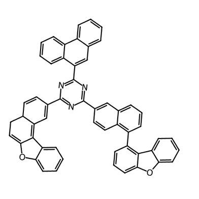 C1=CC2CC=c3oc4ccccc4c3=C2C=C1c1nc(-c2ccc3c(-c4cccc5oc6ccccc6c45)cccc3c2)nc(-c2cc3ccccc3c3ccccc23)n1